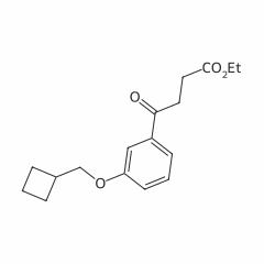 CCOC(=O)CCC(=O)c1cccc(OCC2CCC2)c1